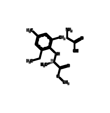 CCc1cc(C)cc(C)c1N[C@@H](C)C(=O)OC.NCC(=O)O